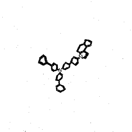 c1ccc(-c2ccc(N(c3ccc(-c4ccccc4)cc3)c3ccc(-c4ccc(-n5ccc6c7ccccc7ccc65)cc4)cc3)cc2)cc1